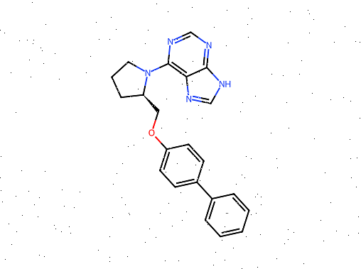 c1ccc(-c2ccc(OC[C@H]3CCCN3c3ncnc4[nH]cnc34)cc2)cc1